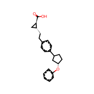 O=C(O)[C@@H]1C[C@H]1CCc1ccc(C2CC[C@H](Oc3ccccc3)C2)cc1